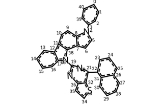 c1ccc(-n2ccc3c2ccc2c4ccccc4n(-c4nc(-c5cccc6ccccc56)c5sccc5n4)c23)cc1